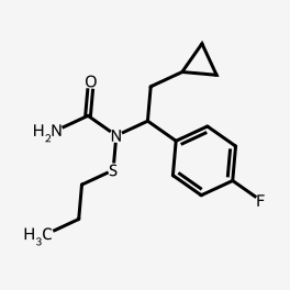 CCCSN(C(N)=O)C(CC1CC1)c1ccc(F)cc1